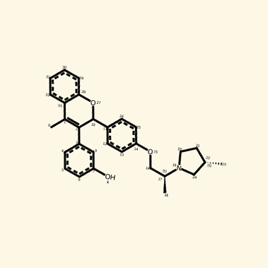 CC1=C(c2cccc(O)c2)C(c2ccc(OC[C@H](C)N3CC[C@H](C)C3)cc2)Oc2ccccc21